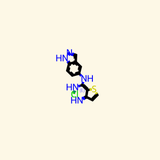 N=C1C=CS/C1=C(/NCl)Nc1ccc2[nH]ncc2c1